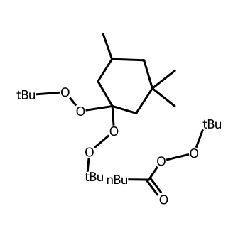 CC1CC(C)(C)CC(OOC(C)(C)C)(OOC(C)(C)C)C1.CCCCC(=O)OOC(C)(C)C